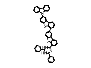 c1ccc(C2=NC(c3cccc4c3sc3ccc(-c5cccc6c5sc5ccc(-n7c8ccccc8c8ccccc87)cc56)cc34)NC(c3ccccc3)N2)cc1